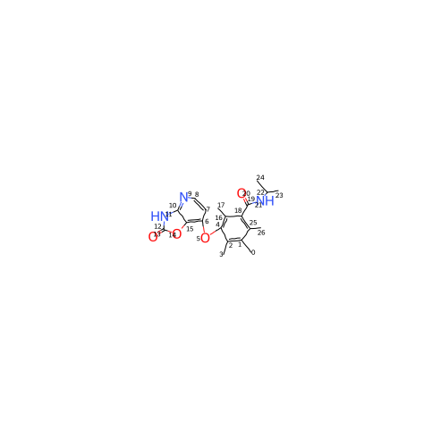 Cc1c(C)c(Oc2ccnc3[nH]c(=O)oc23)c(C)c(C(=O)NC(C)C)c1C